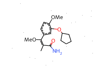 COC(=C(C)C(N)=O)c1ccc(OC)c(OC2CCCC2)c1